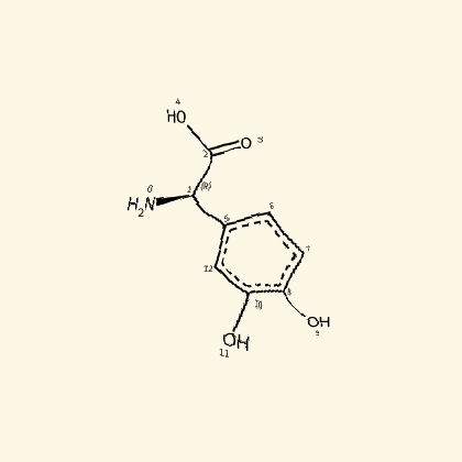 N[C@@H](C(=O)O)c1ccc(O)c(O)c1